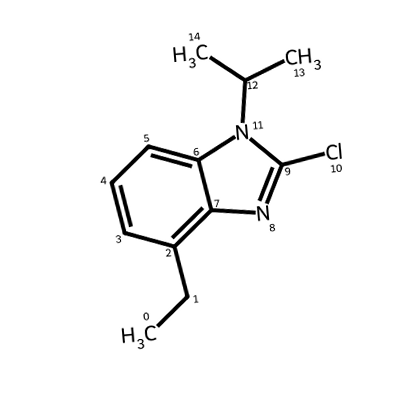 CCc1cccc2c1nc(Cl)n2C(C)C